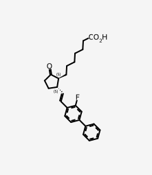 O=C(O)CCCCCC[C@@H]1C(=O)CC[C@H]1C=Cc1ccc(-c2ccccc2)cc1F